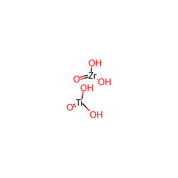 [O]=[Ti]([OH])[OH].[O]=[Zr]([OH])[OH]